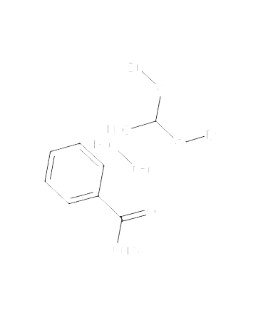 CCCC.CCOC(C)OCC.O=CC(=O)c1ccccc1